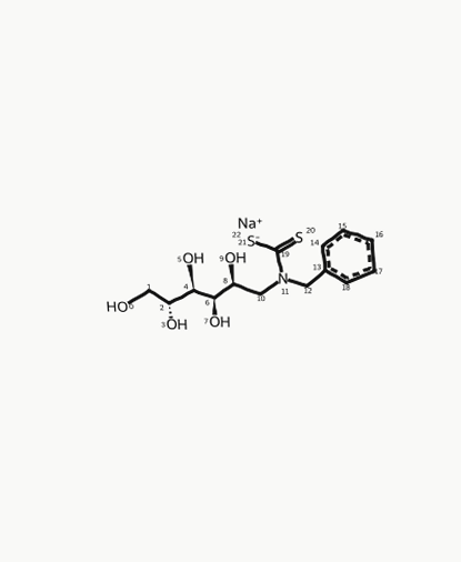 OC[C@@H](O)[C@@H](O)[C@H](O)[C@@H](O)CN(Cc1ccccc1)C(=S)[S-].[Na+]